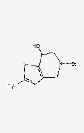 CCN1Cc2cc(C)sc2C(O)C1